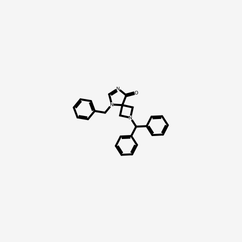 O=C1N=CN(Cc2ccccc2)C12CN(C(c1ccccc1)c1ccccc1)C2